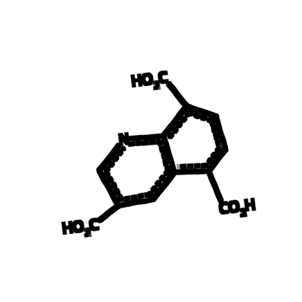 O=C(O)c1cnc2c(C(=O)O)ccc(C(=O)O)c2c1